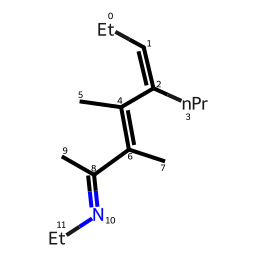 CC\C=C(CCC)/C(C)=C(C)/C(C)=N/CC